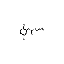 CCOC(=S)Sc1cc(Cl)ccc1Cl